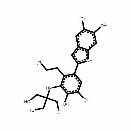 NCCc1c(-c2cc3cc(O)c(O)cc3[nH]2)cc(O)c(O)c1NC(CO)(CO)CO